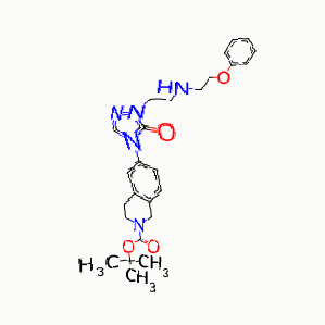 CC(C)(C)OC(=O)N1CCc2cc(-n3cnn(CCNCCOc4ccccc4)c3=O)ccc2C1